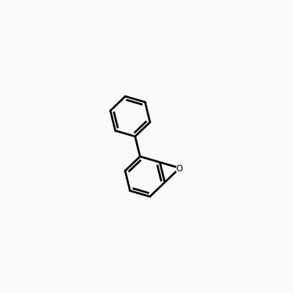 c1ccc(-c2cccc3c2O3)cc1